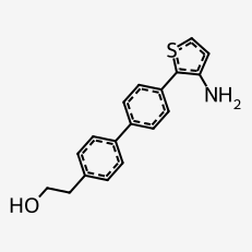 Nc1ccsc1-c1ccc(-c2ccc(CCO)cc2)cc1